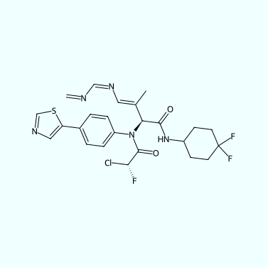 C=N/C=N\C=C(/C)[C@@H](C(=O)NC1CCC(F)(F)CC1)N(C(=O)[C@H](F)Cl)c1ccc(-c2cncs2)cc1